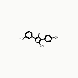 Cc1c(-c2cccc(O)c2)sc(C#N)c1-c1ccc(O)cc1